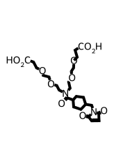 O=C(O)CCOCCOCCN(CCOCCOCCC(=O)O)C(=O)C1CCC(CN2C(=O)C=CC2=O)CC1